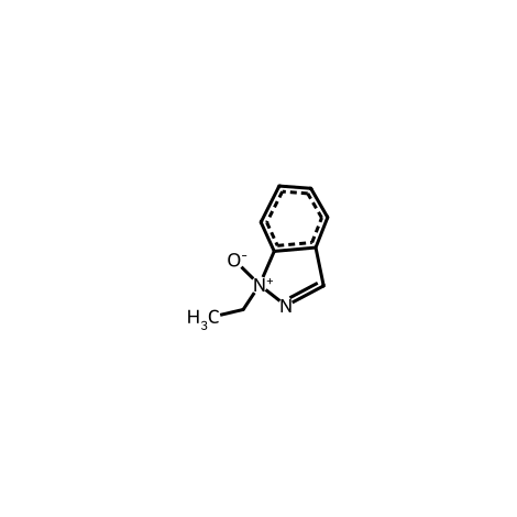 CC[N+]1([O-])N=Cc2ccccc21